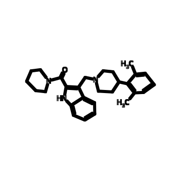 Cc1cccc(C)c1C1CCN(Cc2c(C(=O)N3CCCCC3)[nH]c3ccccc23)CC1